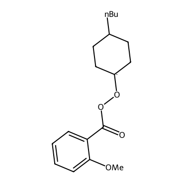 CCCCC1CC[C](OOC(=O)c2ccccc2OC)CC1